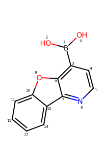 OB(O)c1ccnc2c1oc1ccccc12